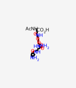 CC(=O)NC(CCC(=O)NCCOCCOCC(=O)NC(CCCCNC(=O)c1ccc(N)cc1)C(N)=O)C(=O)O